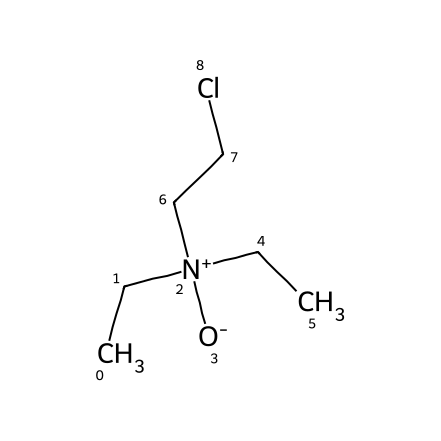 CC[N+]([O-])(CC)CCCl